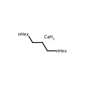 [CH2]CCCCCCCCCCCCCC.[CaH2]